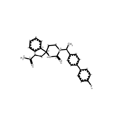 CC(c1ccc(-c2ccc(F)cc2)cc1)N1CCC(CCC(N)=O)(c2ccccc2)OC1=O